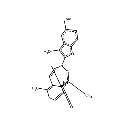 COc1ccc2oc(N3C=CC4=C(C)CC=CC45OC(=O)C(C)NC5=N3)c(C)c2c1